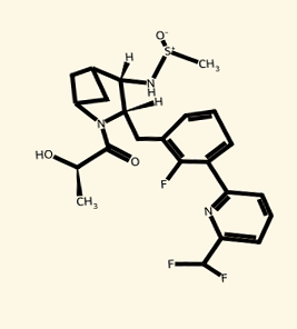 C[C@@H](O)C(=O)N1C2CC(C2)[C@H](N[S+](C)[O-])[C@@H]1Cc1cccc(-c2cccc(C(F)F)n2)c1F